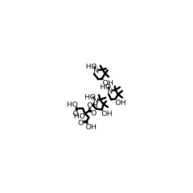 CC1(C)C(O)CCN(O)C1(C)C.CC1(C)C(O)CCN(O)C1(C)C.CC1(C)C(O)CCN(O)C1(C)C.O=C(O)CC(O)(CC(=O)O)C(=O)O